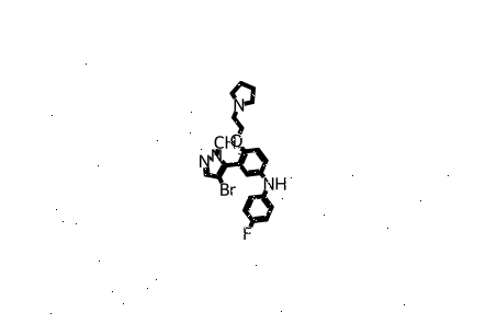 Cn1ncc(Br)c1-c1cc(Nc2ccc(F)cc2)ccc1OCCN1CCCC1